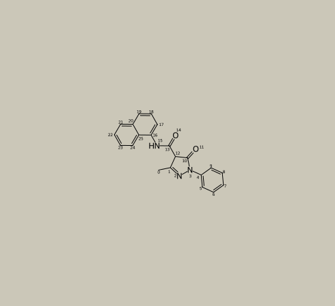 CC1=NN(c2ccccc2)C(=O)C1C(=O)Nc1cccc2ccccc12